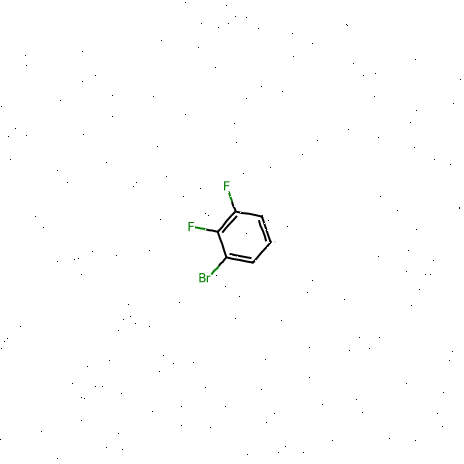 Fc1c[c]cc(Br)c1F